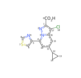 O=C(O)c1nn2c(-c3cscn3)cc(C3CC3)cc2c1Cl